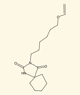 C=COCCCCCCN1C(=O)NC2(CCCCC2)C1=O